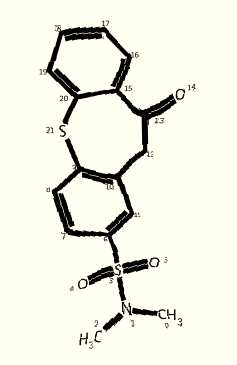 CN(C)S(=O)(=O)c1ccc2c(c1)CC(=O)c1ccccc1S2